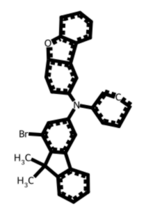 CC1(C)c2ccccc2-c2cc(N(c3ccccc3)c3ccc4oc5ccccc5c4c3)cc(Br)c21